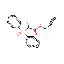 C#CCOC(=O)C(F)P(=O)(c1ccccc1)c1ccccc1